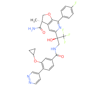 C[C@]1(C(N)=O)COc2c1cc([C@@](O)(CNC(=O)c1ccc(-c3ccnnc3)c(OC3CC3)c1)C(F)(F)F)nc2-c1ccc(F)cc1